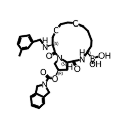 Cc1cccc(CN[C@H]2CCCCCCCCC[C@@H](B(O)O)NC(=O)[C@@H]3C[C@@H](OC(=O)N4Cc5ccccc5C4)CN3C2=O)c1